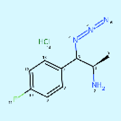 C[C@@H](N)C(N=[N+]=[N-])c1ccc(F)cc1.Cl